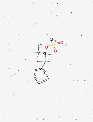 CC(C)C(C)(C)[Si](C)(OS(=O)(=O)C(F)(F)F)C(C)(C)c1ccccc1